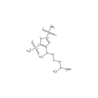 COC(C)OCOC(C)c1cc(S(N)(=O)=O)sc1S(C)(=O)=O